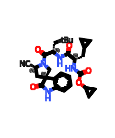 CC(C)(C)C[C@H](NC(=O)[C@H](CC1CC1)NC(=O)OC1CC1)C(=O)N1C[C@]2(C[C@H]1C#N)C(=O)Nc1ccccc12